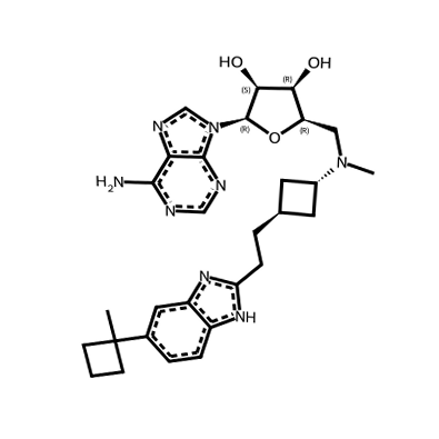 CN(C[C@H]1O[C@@H](n2cnc3c(N)ncnc32)[C@@H](O)[C@H]1O)[C@H]1C[C@H](CCc2nc3cc(C4(C)CCC4)ccc3[nH]2)C1